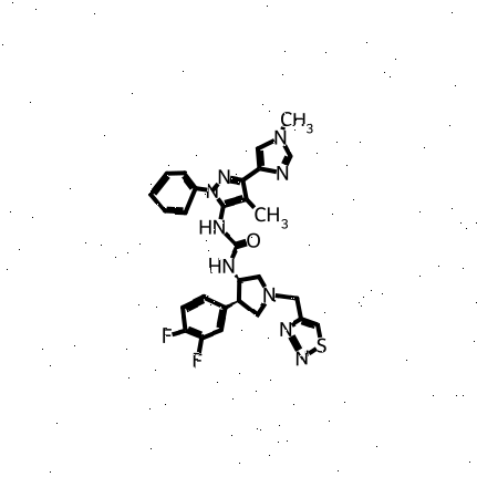 Cc1c(-c2cn(C)cn2)nn(-c2ccccc2)c1NC(=O)N[C@@H]1CN(Cc2csnn2)C[C@H]1c1ccc(F)c(F)c1